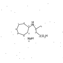 CC(CC(=O)O)NC1CCCCCC1.[NaH]